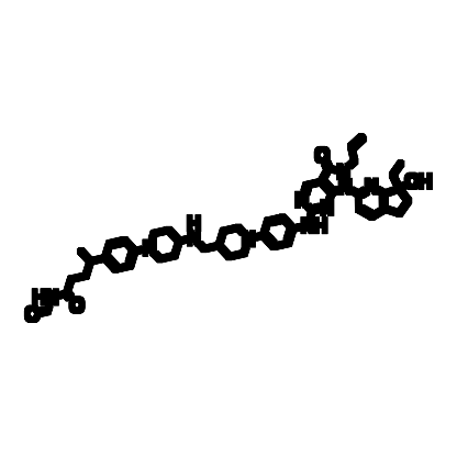 C=CCn1c(=O)c2cnc(Nc3ccc(N4CCC(CNC5CCN(c6ccc(C(C)CCC(=O)NC=O)cc6)CC5)CC4)cc3)nc2n1-c1ccc2c(n1)C(O)(CC)CC2